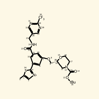 Cc1cnc(-c2cc(OC[C@H]3CN(C(=O)OC(C)(C)C)CCO3)cc(C(=O)NCc3cnc(C(F)(F)F)nc3)c2)s1